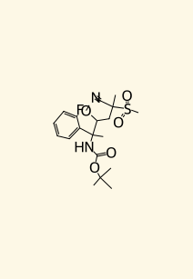 COC(CC(C)(C#N)S(C)(=O)=O)C(C)(NC(=O)OC(C)(C)C)c1ccccc1F